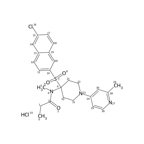 CCC(=O)N(C)C1(S(=O)(=O)c2ccc3cc(Cl)ccc3c2)CCN(c2ccnc(C)c2)CC1.Cl